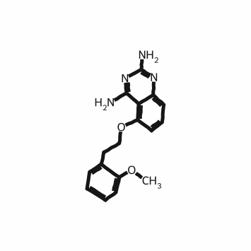 COc1ccccc1CCOc1cccc2nc(N)nc(N)c12